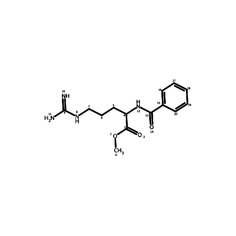 COC(=O)C(CCCNC(=N)N)NC(=O)c1ccccc1